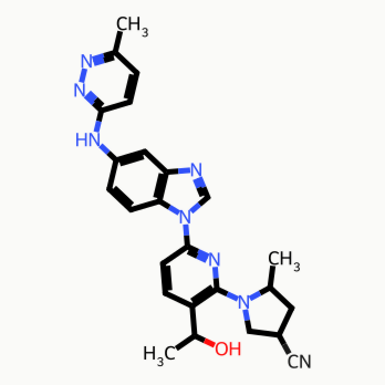 Cc1ccc(Nc2ccc3c(c2)ncn3-c2ccc(C(C)O)c(N3CC(C#N)CC3C)n2)nn1